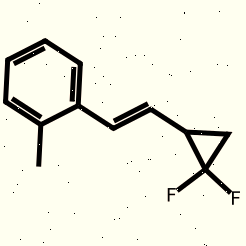 Cc1ccccc1/C=C/C1CC1(F)F